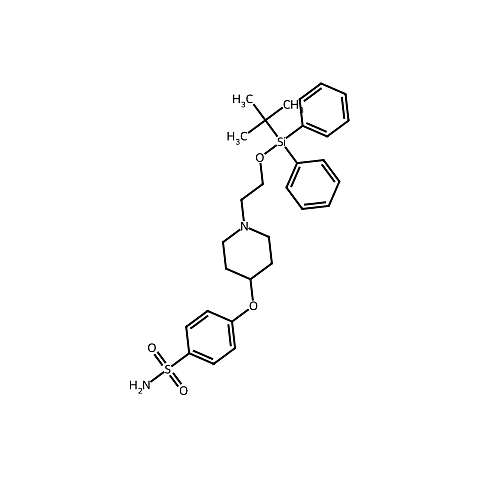 CC(C)(C)[Si](OCCN1CCC(Oc2ccc(S(N)(=O)=O)cc2)CC1)(c1ccccc1)c1ccccc1